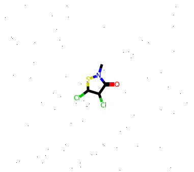 CN1SC(Cl)C(Cl)C1=O